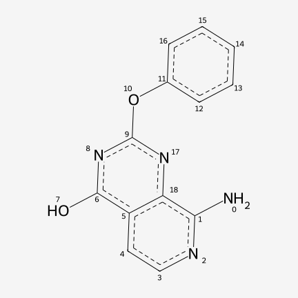 Nc1nccc2c(O)nc(Oc3ccccc3)nc12